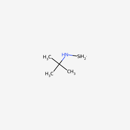 CC(C)(C)N[SiH2]